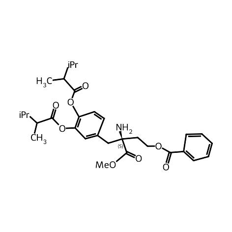 COC(=O)[C@@](N)(CCOC(=O)c1ccccc1)Cc1ccc(OC(=O)C(C)C(C)C)c(OC(=O)C(C)C(C)C)c1